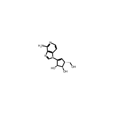 Nc1nccc2c1ncn2C1=C[C@H](CO)[C@@H](O)[C@H]1O